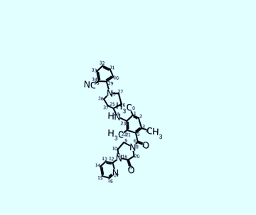 Cc1cc(C)c(C(=O)N2CCN(c3ccccn3)C(=O)C2)c(C)c1NC1CCN(c2ccccc2C#N)CC1